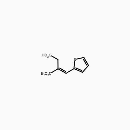 CCOC(=O)/C(=C/c1cccs1)CC(=O)O